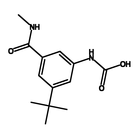 CNC(=O)c1cc(NC(=O)O)cc(C(C)(C)C)c1